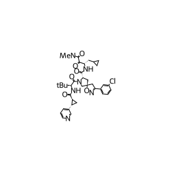 CNC(=O)C(=O)[C@H](CC1CC1)NC(=O)[C@@H]1C[C@]2(CC(c3cccc(Cl)c3)=NO2)CN1C(=O)[C@@H](NC(=O)[C@H]1C[C@@H]1c1cccnc1)C(C)(C)C